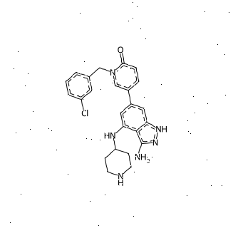 Nc1n[nH]c2cc(-c3ccc(=O)n(Cc4cccc(Cl)c4)c3)cc(NC3CCNCC3)c12